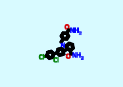 NC(=O)c1ccc(Cn2c3cc(-c4ccc(Cl)cc4Cl)c[c]c3c3c(C(N)=O)cccc32)cc1